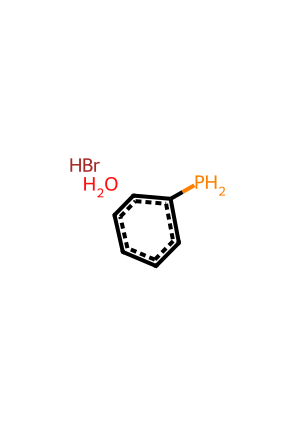 Br.O.Pc1ccccc1